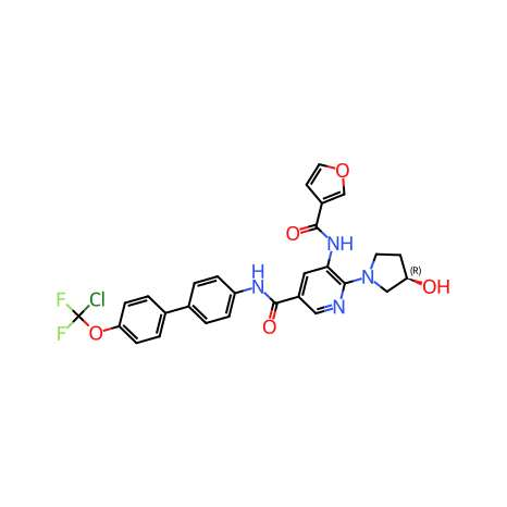 O=C(Nc1ccc(-c2ccc(OC(F)(F)Cl)cc2)cc1)c1cnc(N2CC[C@@H](O)C2)c(NC(=O)c2ccoc2)c1